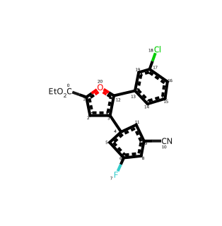 CCOC(=O)c1cc(-c2cc(F)cc(C#N)c2)c(-c2cccc(Cl)c2)o1